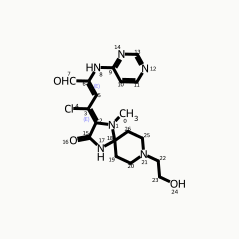 CN1/C(=C(Cl)\C=C(/C=O)Nc2ccncn2)C(=O)NC12CCN(CCO)CC2